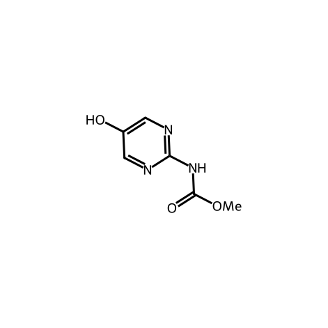 COC(=O)Nc1ncc(O)cn1